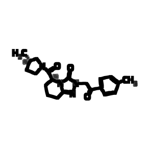 Cc1ccc(C(=O)Cn2nc3n(c2=O)[C@H](C(=O)N2CC[C@H](C)C2)CCC3)cc1